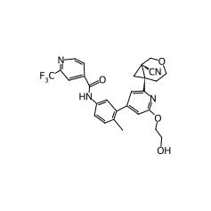 Cc1ccc(NC(=O)c2ccnc(C(F)(F)F)c2)cc1-c1cc(OCCO)nc([C@]23CCOC[C@@]2(C#N)C3)c1